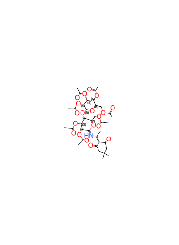 CC(=O)OC[C@H]1O[C@H](O[C@H]2[C@H](OC(C)=O)[C@@H](OC(C)=O)[C@H](NC(C)=C3C(=O)CC(C)(C)CC3=O)O[C@@H]2COC(C)=O)[C@H](OC(C)=O)[C@@H](OC(C)=O)[C@H]1OC(C)=O